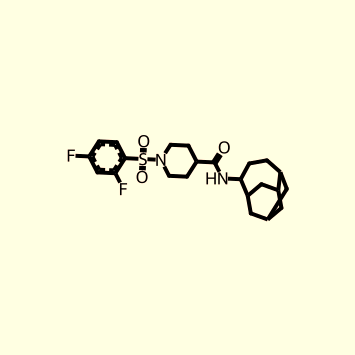 O=C(NC1CCC2CC3CC2CC1C3)C1CCN(S(=O)(=O)c2ccc(F)cc2F)CC1